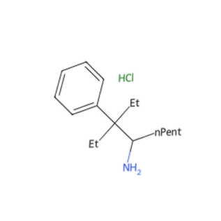 CCCCCC(N)C(CC)(CC)c1ccccc1.Cl